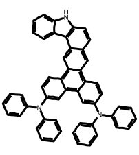 c1ccc(N(c2ccccc2)c2ccc3c(c2)c2cc(N(c4ccccc4)c4ccccc4)ccc2c2cc4c(ccc5[nH]c6ccccc6c54)cc32)cc1